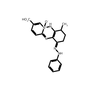 CC1CCC(=NNc2ccccc2)C2=C1N[N+]1([O-])C=C(C(=O)O)C=CC1=N2